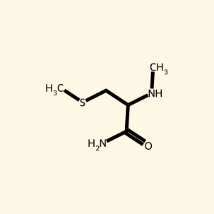 CNC(CSC)C(N)=O